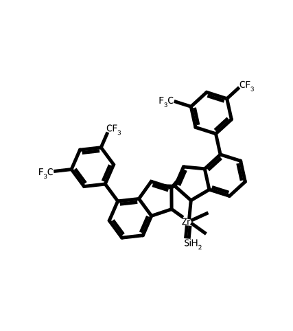 CC1=Cc2c(-c3cc(C(F)(F)F)cc(C(F)(F)F)c3)cccc2[CH]1[Zr]([CH3])([CH3])(=[SiH2])[CH]1C(C)=Cc2c(-c3cc(C(F)(F)F)cc(C(F)(F)F)c3)cccc21